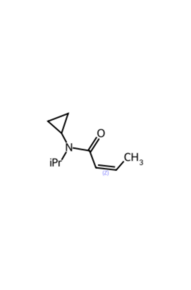 C/C=C\C(=O)N(C(C)C)C1CC1